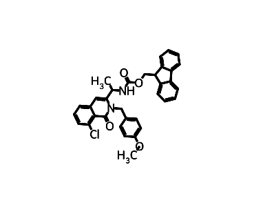 COc1ccc(Cn2c(C(C)NC(=O)OCC3c4ccccc4-c4ccccc43)cc3cccc(Cl)c3c2=O)cc1